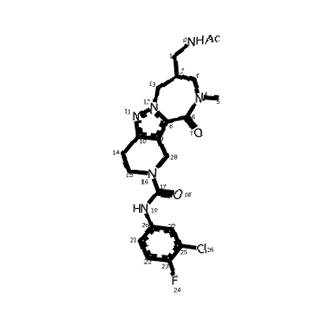 CC(=O)NCC1CN(C)C(=O)c2c3c(nn2C1)CCN(C(=O)Nc1ccc(F)c(Cl)c1)C3